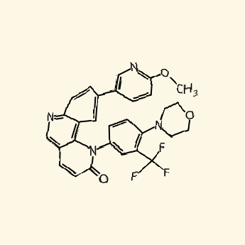 COc1ccc(-c2ccc3ncc4ccc(=O)n(-c5ccc(N6CCOCC6)c(C(F)(F)F)c5)c4c3c2)cn1